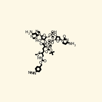 CSSC(CCC(NC(=O)OC(C)(C)C)C(=O)O[C@H]1[C@@H](O)[C@H](n2cnc3c(N)ncnc32)O[C@@H]1COP(=O)(O)O[C@H]1C[C@H](n2ccc(N)nc2=O)O[C@@H]1COP(=O)(O)O)CNC(=O)OCc1ccc(N=[N+]=[N-])cc1